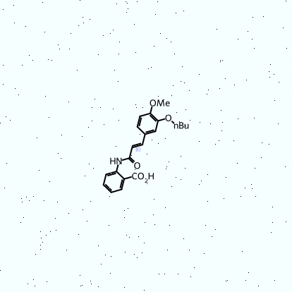 CCCCOc1cc(/C=C/C(=O)Nc2ccccc2C(=O)O)ccc1OC